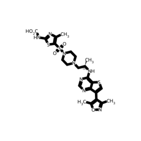 Cc1nc(NC(=O)O)sc1S(=O)(=O)N1CCN(C[C@H](C)Nc2ncnc3c(-c4c(C)noc4C)csc23)CC1